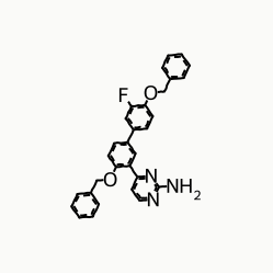 Nc1nccc(-c2cc(-c3ccc(OCc4ccccc4)c(F)c3)ccc2OCc2ccccc2)n1